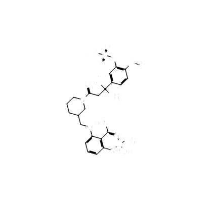 COc1ccc(C(C)(C)CC(=O)N2CCCC(COc3cccc4c3C(N)=NS(O)(O)N4)C2)cc1OS(C)(=O)=O